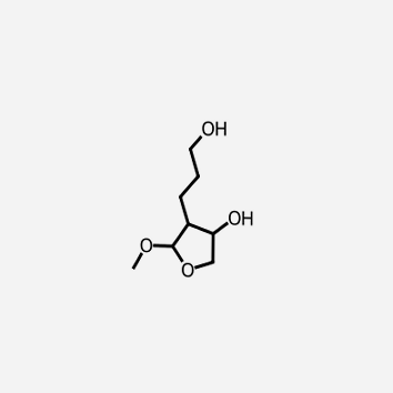 COC1OCC(O)C1CCCO